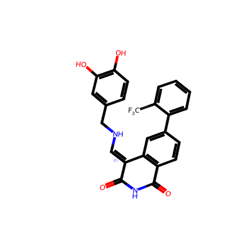 O=C1NC(=O)c2ccc(-c3ccccc3C(F)(F)F)cc2/C1=C\NCc1ccc(O)c(O)c1